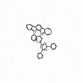 C1=Cc2c(n(-c3cccc(-c4nc(-c5ccccc5)nc(-c5ccccc5)n4)c3)c3c2ccc2c4ccccc4n(-c4ccccc4)c23)C=CC1